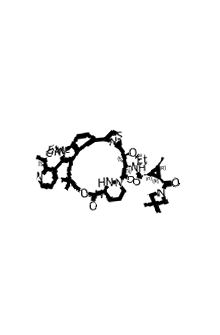 CCO[C@@H]1c2nc(cs2)-c2ccc3c(c2)c(c(-c2cccnc2[C@H](C)OC)n3CC)CC(C)(C)COC(=O)[C@@H]2CCCN(N2)C(=O)[C@H]1NC(=O)[C@@H]1[C@@H](C)[C@H]1C(=O)N1CC(C)(C)C1